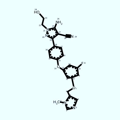 Cn1cncc1COc1cc(F)cc(Oc2ccc(-c3nn(CCO)c(N)c3C#N)cc2)c1